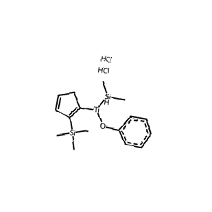 C[SiH](C)[Ti]([O]c1ccccc1)[C]1=C([Si](C)(C)C)C=CC1.Cl.Cl